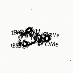 COc1cc(OC)c(Cl)c(-c2cc3cnc(Nc4c(C)cccc4NC(=O)OC(C)(C)C)nc3n(CCCN3CCN(C(=O)OC(C)(C)C)CC3)c2=O)c1Cl